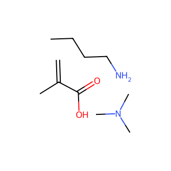 C=C(C)C(=O)O.CCCCN.CN(C)C